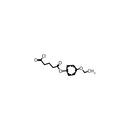 CCOc1ccc(OC(=O)CCCC(=O)Cl)cc1